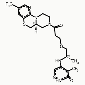 C[C@@H](COCCC(=O)N1CCN2c3ncc(C(F)(F)F)cc3SC[C@H]2C1)Nc1cn[nH]c(=O)c1C(F)(F)F